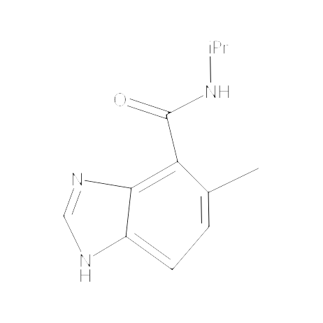 Cc1ccc2[nH]cnc2c1C(=O)NC(C)C